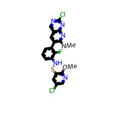 CNc1nc2nc(Cl)ncc2cc1-c1cccc(NSc2cc(Cl)cnc2OC)c1F